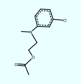 CC(=O)OCCN(C)c1cccc(Cl)c1